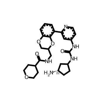 N[C@H]1CCC(NC(=O)Nc2ccnc(-c3cccc4c3OC(CNC(=O)C3CCOCC3)CO4)c2)C1